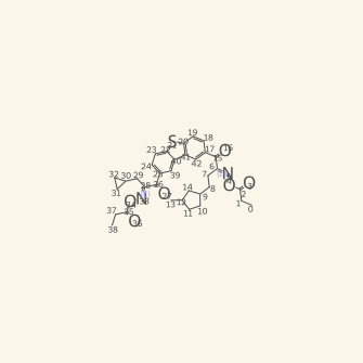 CCC(=O)O/N=C(\CCC1CCC(C)C1)C(=O)c1ccc2sc3ccc(C(=O)/C(CC4CC4)=N/OC(=O)CC)cc3c2c1